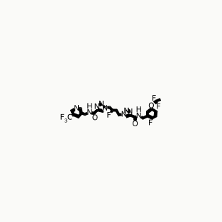 CC(F)(F)Oc1ccc(F)c(CNC(=O)c2cn(CCC(F)Cn3cc(C(=O)NCc4cncc(C(F)(F)F)c4)nn3)nn2)c1